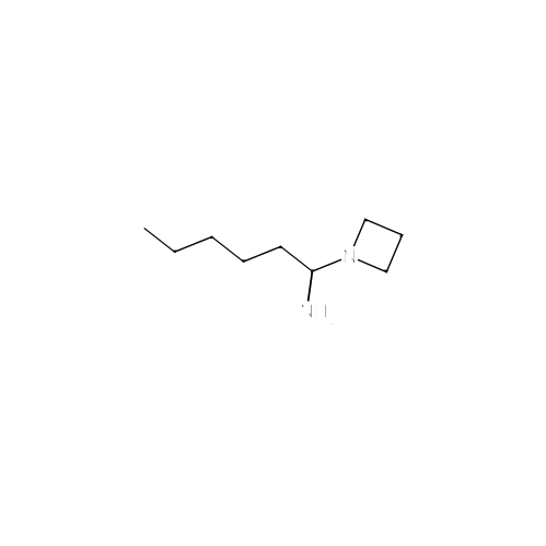 CCCCCC(N)N1CCC1